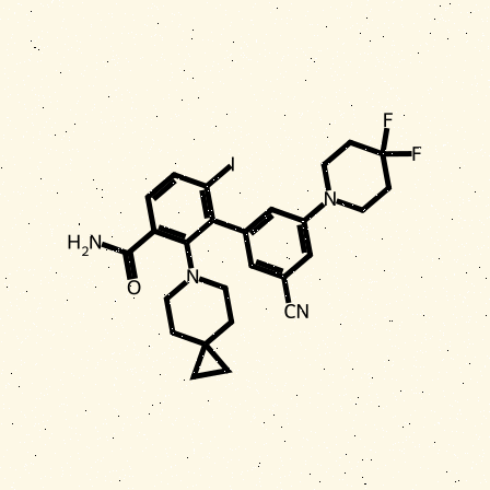 N#Cc1cc(-c2c(I)ccc(C(N)=O)c2N2CCC3(CC2)CC3)cc(N2CCC(F)(F)CC2)c1